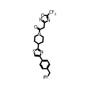 CC(C)Cc1ccc(-c2csc(C3CCN(C(=O)Cc4noc(C(F)(F)F)n4)CC3)n2)cc1